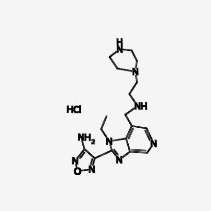 CCn1c(-c2nonc2N)nc2cncc(CNCCN3CCNCC3)c21.Cl